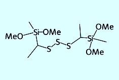 CO[Si](C)(OC)C(C)SSSC(C)[Si](C)(OC)OC